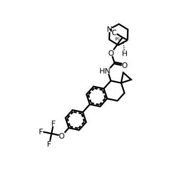 O=C(NC1c2ccc(-c3ccc(OC(F)(F)F)cc3)cc2CCC12CC2)O[C@H]1CN2CCC1CC2